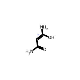 NC(=O)/C=C(/N)O